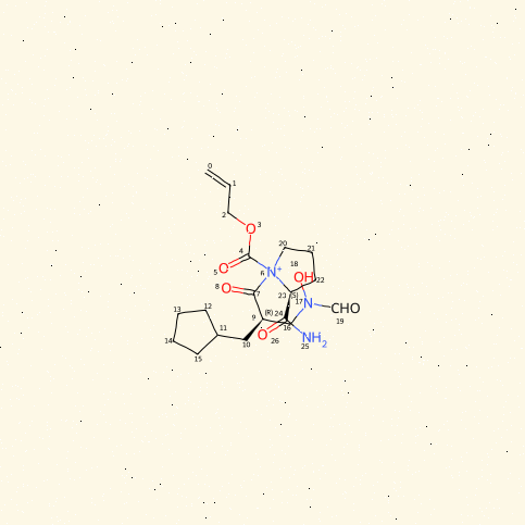 C=CCOC(=O)[N+]1(C(=O)[C@H](CC2CCCC2)CN(O)C=O)CCC[C@H]1C(N)=O